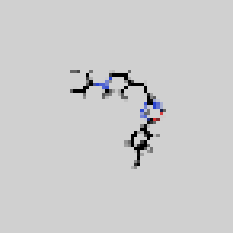 CCC(CC)N1CCC(Cc2noc(-c3ccc(C)cc3)n2)CC1